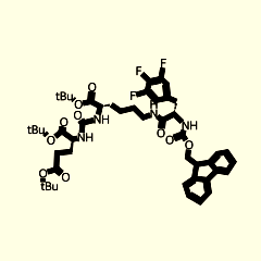 CC(C)(C)OC(=O)CC[C@H](NC(=O)N[C@@H](CCCCNC(=O)[C@H](Cc1cc(F)c(F)c(F)c1)NC(=O)OCC1c2ccccc2-c2ccccc21)C(=O)OC(C)(C)C)C(=O)OC(C)(C)C